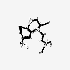 CC1COc2ccc(N)cc2N1CCN(C)C